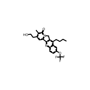 CCCCc1c2c(nc3ccc(OC(F)(F)F)cc13)-c1cc(CCO)c(C)c(=O)n1C2